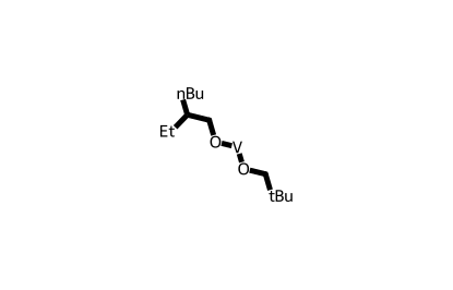 CCCCC(CC)C[O][V][O]CC(C)(C)C